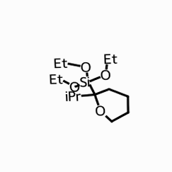 CCO[Si](OCC)(OCC)C1(C(C)C)CCCCO1